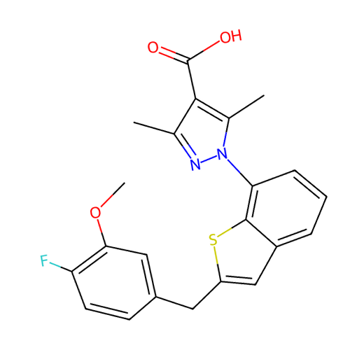 COc1cc(Cc2cc3cccc(-n4nc(C)c(C(=O)O)c4C)c3s2)ccc1F